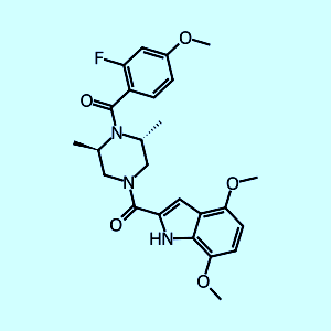 COc1ccc(C(=O)N2[C@H](C)CN(C(=O)c3cc4c(OC)ccc(OC)c4[nH]3)C[C@H]2C)c(F)c1